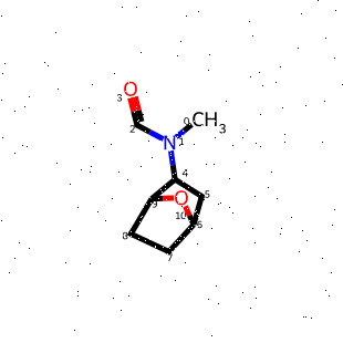 CN(C=O)C1CC2CCC1O2